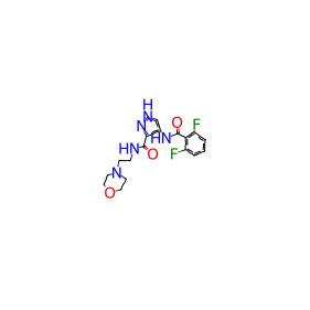 O=C(NCCN1CCOCC1)c1n[nH]cc1NC(=O)c1c(F)cccc1F